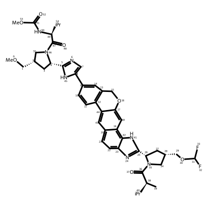 COC[C@H]1C[C@@H](c2ncc(-c3ccc4c(c3)COc3cc5c(ccc6nc([C@@H]7C[C@H](COC(F)F)CN7C(=O)[C@@H](C)C(C)C)[nH]c65)cc3-4)[nH]2)N(C(=O)[C@@H](NC(=O)OC)C(C)C)C1